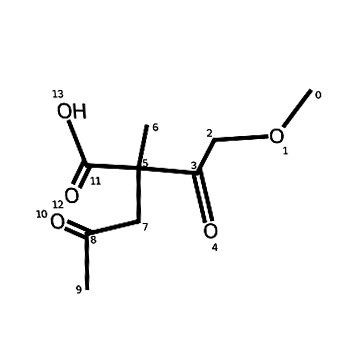 COCC(=O)C(C)(CC(C)=O)C(=O)O